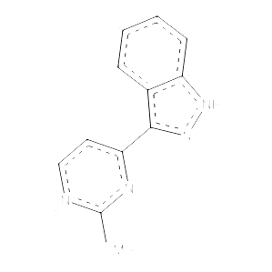 CSc1nccc(-c2n[nH]c3ccccc23)n1